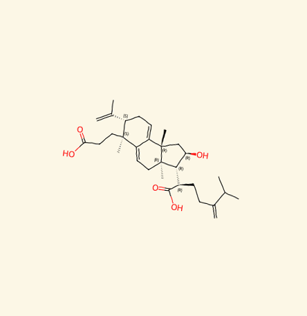 C=C(CC[C@@H](C(=O)O)[C@H]1[C@H](O)C[C@@]2(C)C3=CC[C@@H](C(=C)C)[C@](C)(CCC(=O)O)C3=CC[C@]12C)C(C)C